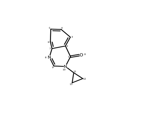 O=c1c2ccccc2ncn1C1CC1